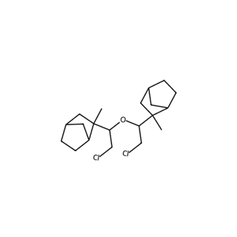 CC1(C(CCl)OC(CCl)C2(C)CC3CCC2C3)CC2CCC1C2